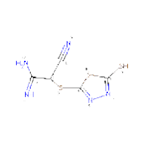 N#CC(Sc1nnc(S)s1)C(=N)N